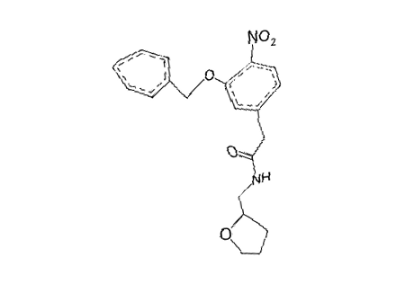 O=C(Cc1ccc([N+](=O)[O-])c(OCc2ccccc2)c1)NCC1CCCO1